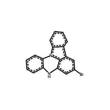 Brc1cc2c3c(c1)c1ccccc1n3-c1ccccc1N2